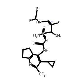 NC(/C(F)=C\NC(F)F)S(N)(=O)=NC(=O)Nc1c2c(nc(C(F)(F)F)c1C1CC1)CCC2